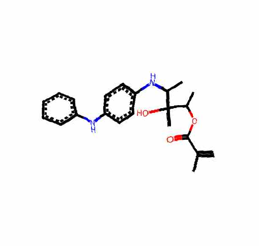 C=C(C)C(=O)OC(C)C(C)(O)C(C)Nc1ccc(Nc2ccccc2)cc1